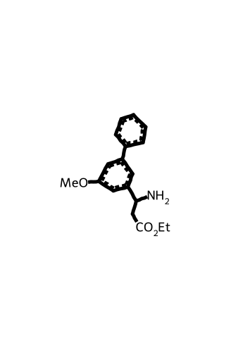 CCOC(=O)CC(N)c1cc(OC)cc(-c2ccccc2)c1